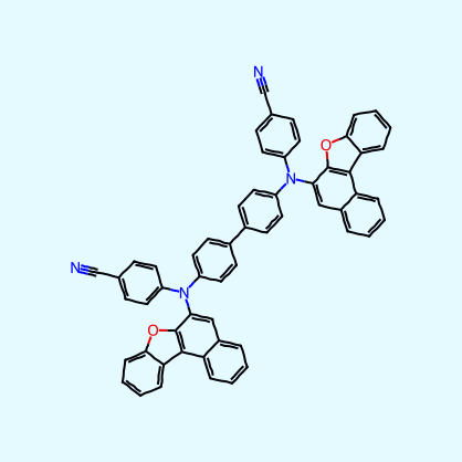 N#Cc1ccc(N(c2ccc(-c3ccc(N(c4ccc(C#N)cc4)c4cc5ccccc5c5c4oc4ccccc45)cc3)cc2)c2cc3ccccc3c3c2oc2ccccc23)cc1